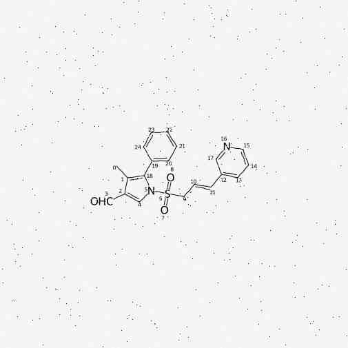 Cc1c(C=O)cn(S(=O)(=O)CC=Cc2cccnc2)c1-c1ccccc1